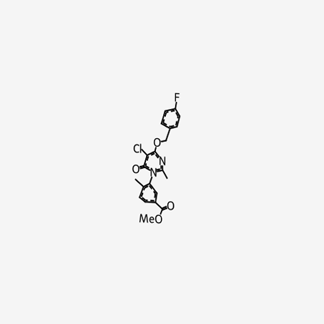 COC(=O)c1ccc(C)c(-n2c(C)nc(OCc3ccc(F)cc3)c(Cl)c2=O)c1